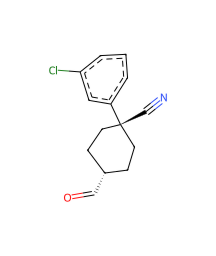 N#C[C@]1(c2cccc(Cl)c2)CC[C@@H](C=O)CC1